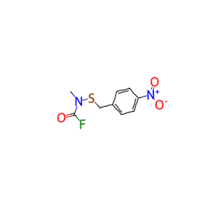 CN(SCc1ccc([N+](=O)[O-])cc1)C(=O)F